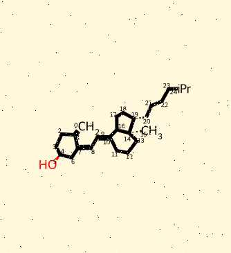 C=C1CC[C@H](O)C/C1=C/C=C1\CCC[C@@]2(C)C1CC[C@@H]2CCCCC(C)C